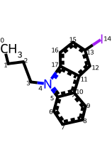 CCCCn1c2ccccc2c2cc(I)ccc21